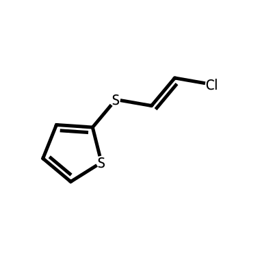 ClC=CSc1cccs1